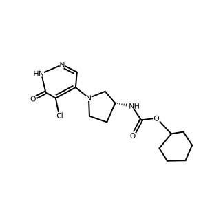 O=C(N[C@@H]1CCN(c2cn[nH]c(=O)c2Cl)C1)OC1CCCCC1